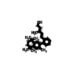 CC(/C=C/c1ccccc1-c1cc2c(cc1C)C(C)(C)CCC2(C)C)=C\CO